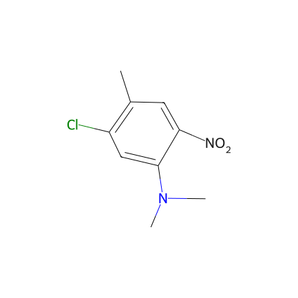 Cc1cc([N+](=O)[O-])c(N(C)C)cc1Cl